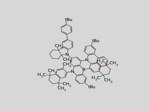 Cc1cc2c(cc1N1c3ccc(C(C)(C)C)cc3B3c4cc5c(cc4N(c4ccc(C(C)(C)C)cc4-c4ccccc4)c4cc(N6c7ccc(-c8ccc(C(C)(C)C)cc8)cc7C7(C)CCCCC67C)cc1c43)C(C)(C)CCC5(C)C)C(C)(C)CCC2(C)C